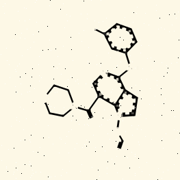 O=COn1ccc2c(Nc3cccc(Cl)c3)ncc(C(=O)N3CCOCC3)c21